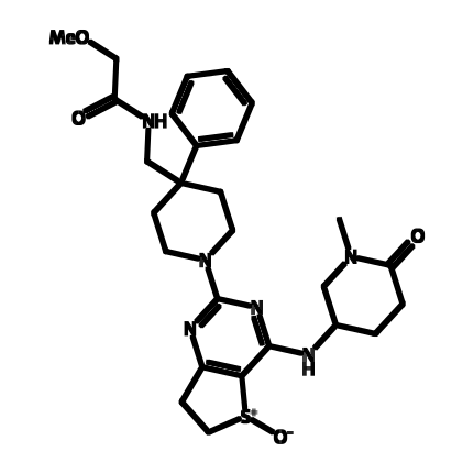 COCC(=O)NCC1(c2ccccc2)CCN(c2nc3c(c(NC4CCC(=O)N(C)C4)n2)[S+]([O-])CC3)CC1